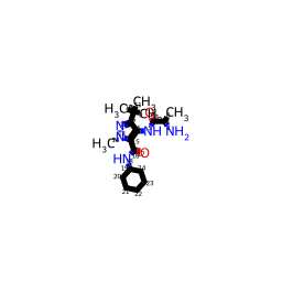 CC(N)C(=O)Nc1c(C(C)(C)C)nn(C)c1C(=O)NC1CCCCC1